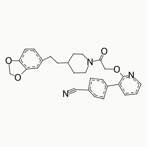 N#Cc1ccc(-c2cccnc2OCC(=O)N2CCC(CCc3ccc4c(c3)OCO4)CC2)cc1